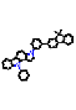 CC1(C)c2ccccc2-c2ccc(-c3cccc(-n4ccc5c4ccc4c6ccccc6n(-c6ccccc6)c45)c3)cc21